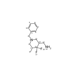 CC1CN(Cc2ccccc2)CC(CN)C1(F)F